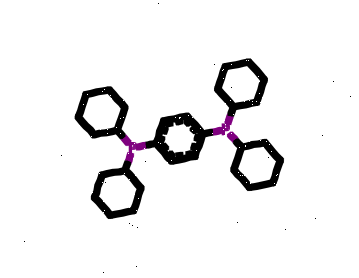 c1cc(P(C2CCCCC2)C2CCCCC2)ccc1P(C1CCCCC1)C1CCCCC1